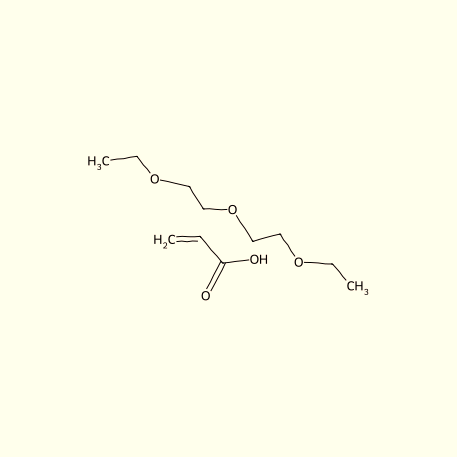 C=CC(=O)O.CCOCCOCCOCC